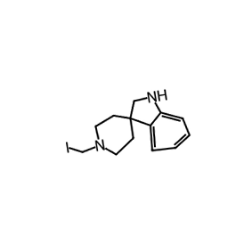 ICN1CCC2(CC1)CNc1ccccc12